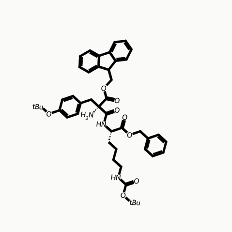 CC(C)(C)OC(=O)NCCCC[C@H](NC(=O)[C@@](N)(Cc1ccc(OC(C)(C)C)cc1)C(=O)OCC1c2ccccc2-c2ccccc21)C(=O)OCc1ccccc1